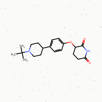 CC(C)(C)N1CCC(c2ccc(OC3CCC(=O)NC3=O)cc2)CC1